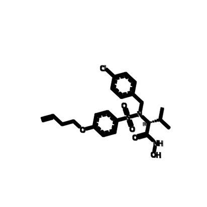 C=CCCOc1ccc(S(=O)(=O)N(Cc2ccc(Cl)cc2)[C@@H](C(=O)NO)C(C)C)cc1